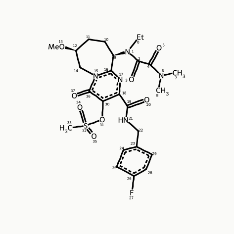 CCN(C(=O)C(=O)N(C)C)[C@@H]1CC[C@H](OC)Cn2c1nc(C(=O)NCc1ccc(F)cc1)c(OS(C)(=O)=O)c2=O